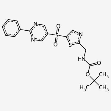 CC(C)(C)OC(=O)NCc1ncc(S(=O)(=O)c2cnc(-c3ccccc3)nc2)s1